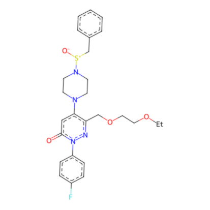 CCOCCOCc1nn(-c2ccc(F)cc2)c(=O)cc1N1CCN([S+]([O-])Cc2ccccc2)CC1